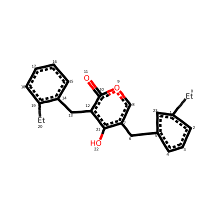 CCc1cccc(Cc2coc(=O)c(Cc3ccccc3CC)c2O)c1